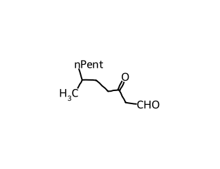 CCCCCC(C)CCC(=O)CC=O